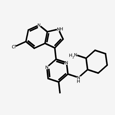 Cc1cnc(-c2c[nH]c3ncc(Cl)cc23)nc1NC1CCCCC1N